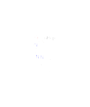 CCCCCCCSC(=O)N=c1ccn(-c2ccccc2)nc1